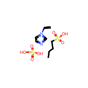 C=Cn1ccnc1.CCCCS(=O)(=O)O.O=S(=O)(O)O